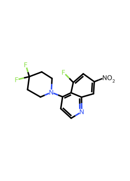 O=[N+]([O-])c1cc(F)c2c(N3CCC(F)(F)CC3)ccnc2c1